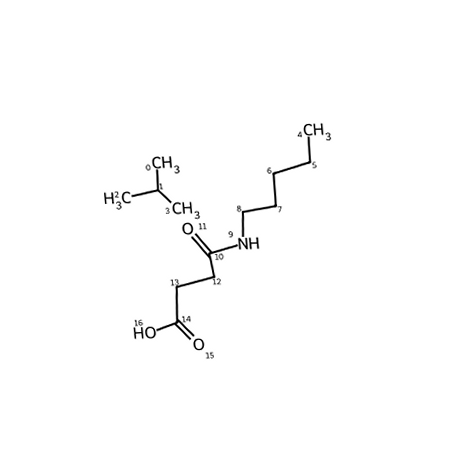 CC(C)C.CCCCCNC(=O)CCC(=O)O